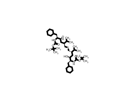 CC(C)[C@@H](CSC[C@@H](C[C@H](O)[C@H](CC1CCCCC1)NC(=O)OC(C)(C)C)C(C)C)C[C@H](O)[C@H](CC1CCCCC1)NC(=O)OC(C)(C)C